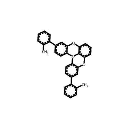 Cc1ccccc1-c1ccc2c(c1)Oc1cccc3c1B2c1ccc(-c2ccccc2C)cc1O3